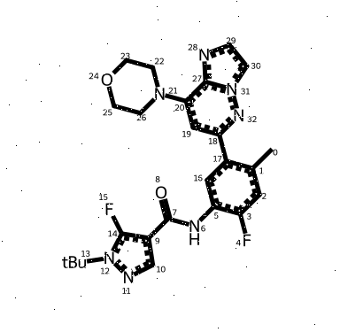 Cc1cc(F)c(NC(=O)c2cnn(C(C)(C)C)c2F)cc1-c1cc(N2CCOCC2)c2nccn2n1